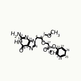 COC[C@@H](Cn1cnc2c(=O)[nH]c(N)nc21)OCP(C)(=O)Oc1ccccc1